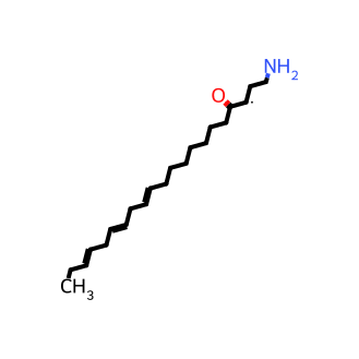 CCC=CCC=CCC=CCCCCCCCC(=O)[CH]CCN